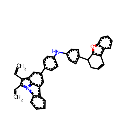 C=Cc1c(C=C)n2c3ccccc3c3cc(-c4ccc(Nc5ccc(C6CC=Cc7c6oc6ccccc76)cc5)cc4)cc1c32